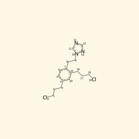 ClCCCc1ccc(CCn2cncn2)c(CCCCl)c1